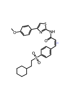 COc1ccc(-c2csc(NC(=O)/C=C\c3ccc(S(=O)(=O)CCC4CCCCC4)cc3)n2)cc1